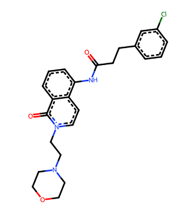 O=C(CCc1cccc(Cl)c1)Nc1cccc2c(=O)n(CCN3CCOCC3)ccc12